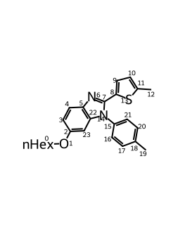 CCCCCCOc1ccc2nc(-c3ccc(C)s3)n(-c3ccc(C)cc3)c2c1